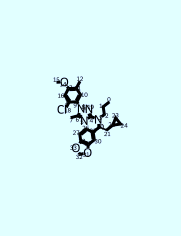 CCCN(c1nc(C)n(-c2cc(C)c(OC)cc2Cl)n1)[C@@H](CC1CC1)c1ccc2c(c1)OCO2